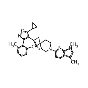 Cc1cccc(C)c1-c1noc(C2CC2)c1C1=CC2(CCN(c3ccc4c(C)cn(C)c4n3)CC2)C1